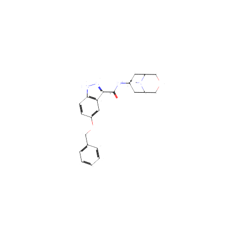 CCCCN1C2COCC1CC(NC(=O)c1n[nH]c3ccc(OCc4ccccc4)cc13)C2